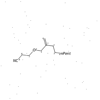 C=C(CCCCCCC)COCCC#N